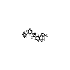 O=C1CCN(c2cc(C(=O)Nc3cccc(-n4cnnc4S)c3)ccc2Cl)N1